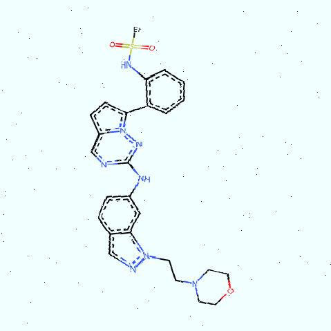 CCS(=O)(=O)Nc1ccccc1-c1ccc2cnc(Nc3ccc4cnn(CCN5CCOCC5)c4c3)nn12